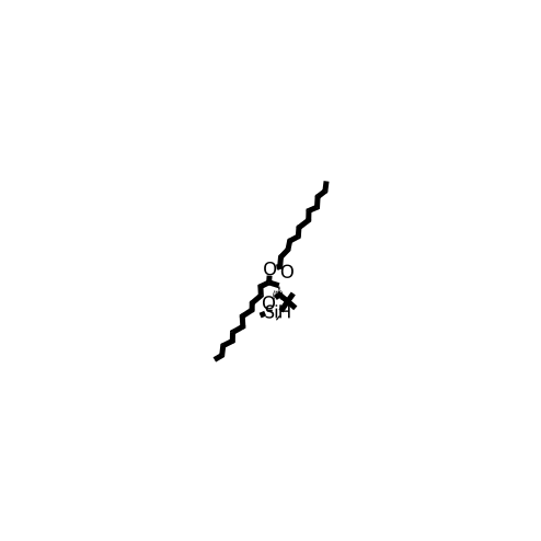 CCCCCCCCCCCC(=O)OC(CCCCCCCCCCC)C[C@@H](O[SiH](C)C)C(C)(C)C